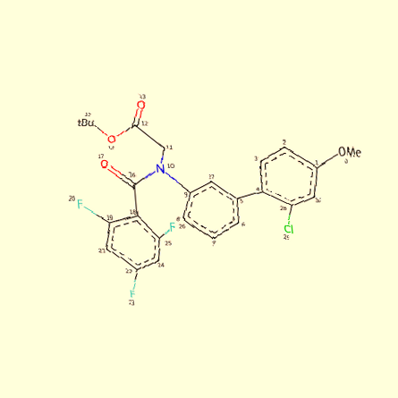 COc1ccc(-c2cccc(N(CC(=O)OC(C)(C)C)C(=O)c3c(F)cc(F)cc3F)c2)c(Cl)c1